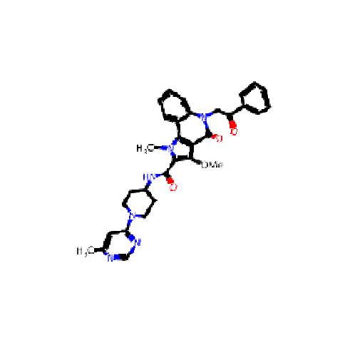 COc1c(C(=O)NC2CCN(c3cc(C)ncn3)CC2)n(C)c2c1c(=O)n(CC(=O)c1ccccc1)c1ccccc21